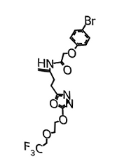 C=C(CCc1nnc(OCCOCC(F)(F)F)o1)NC(=O)COc1ccc(Br)cc1